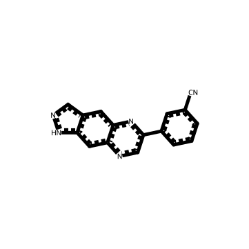 N#Cc1cccc(-c2cnc3cc4[nH]ncc4cc3n2)c1